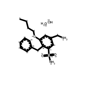 CCCCOc1cc(CN)cc(S(N)(=O)=O)c1Cc1ccccc1.Cl.O